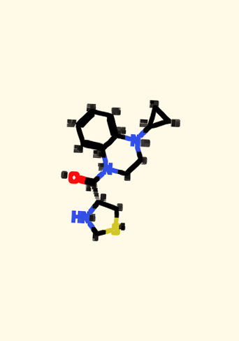 O=C([C@@H]1CSCN1)N1CCN(C2CC2)c2ccccc21